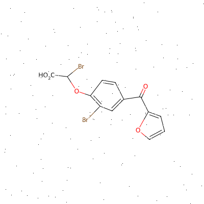 O=C(c1ccc(OC(Br)C(=O)O)c(Br)c1)c1ccco1